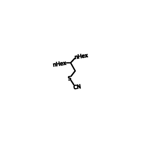 CCCCCCC(CCCCCC)CSC#N